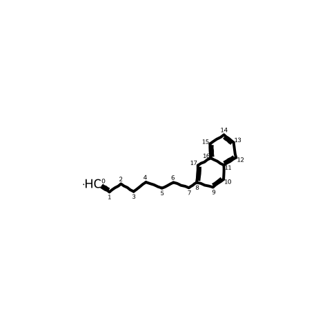 [CH]=CCCCCCCc1ccc2ccccc2c1